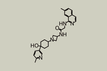 Cc1ccc2ccnc(NCC(=O)NC3CN(C4CCC(O)(c5ccc(C)nc5)CC4)C3)c2c1